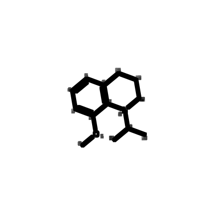 COc1cccc2c1N(C(C)C)CCC2